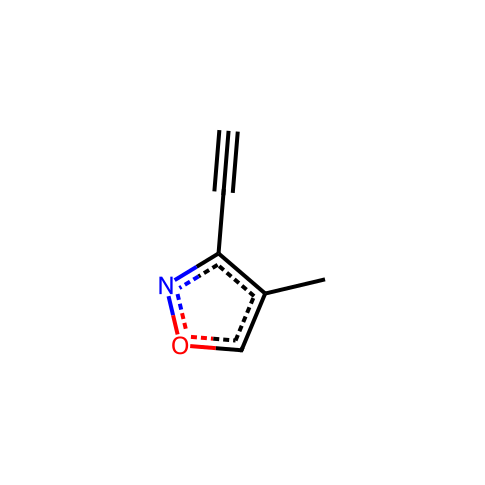 C#Cc1nocc1C